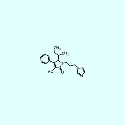 CCC(C)C1C(c2ccccc2)=C(O)C(=O)N1CCCn1ccnc1